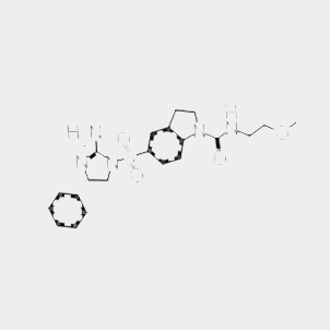 COCCNC(=O)N1CCc2cc(S(=O)(=O)N3C[C@H](c4ccccc4)N=C3N)ccc21